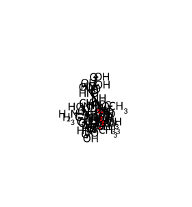 CC(C)C[C@H](NC(=O)[C@H](CCCCN)NC(=O)[C@@H](N)[C@@H](C)O)C(=O)NCC(=O)N[C@@H](CC(=O)O)C(=O)N[C@@H](CC(C)C)C(=O)N[C@H](C(=O)N[C@H](C(=O)N[C@H](C(=O)N[C@@H](CO)C(=O)N[C@@H](CC(C)C)C(=O)N1CCC[C@H]1C(=O)NCC(=O)NCC(=O)N[C@@H](CCC(=O)O)C(=O)N[C@@H](CCC(=O)O)C(=O)O)C(C)C)[C@@H](C)O)C(C)C